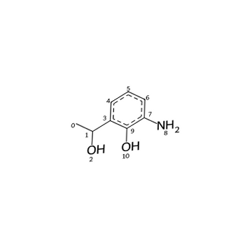 CC(O)c1cccc(N)c1O